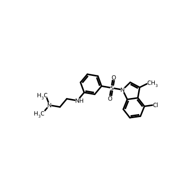 Cc1cn(S(=O)(=O)c2cccc(NCCN(C)C)c2)c2cccc(Cl)c12